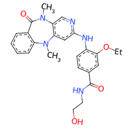 CCOc1cc(C(=O)NCCO)ccc1Nc1cc2c(cn1)N(C)C(=O)c1ccccc1N2C